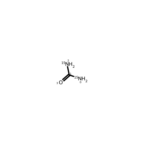 [15NH2]C([15NH2])=O